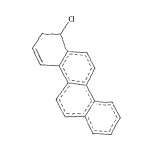 ClC1CC=Cc2c1ccc1c2ccc2ccccc21